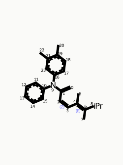 C=C(/C=C\C(C)=C(/C)C(C)C)N(c1ccccc1)c1ccc(C)c(C)c1